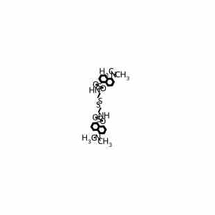 CN(C)c1cccc2c(S(=O)(=O)NCCSSCCNS(=O)(=O)c3cccc4c(N(C)C)cccc34)cccc12